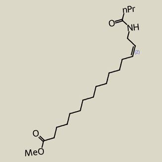 CCCC(=O)NC/C=C\CCCCCCCCCCCCC(=O)OC